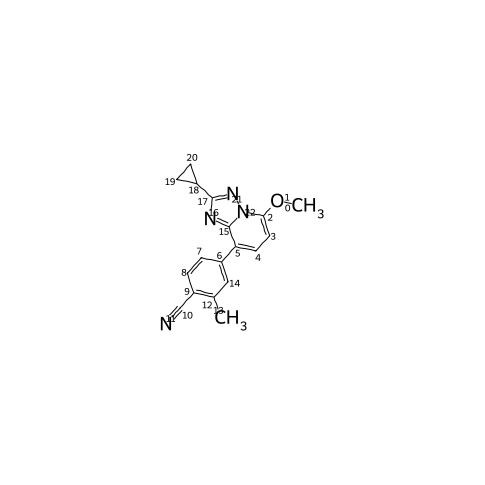 COc1ccc(-c2ccc(C#N)c(C)c2)c2nc(C3CC3)nn12